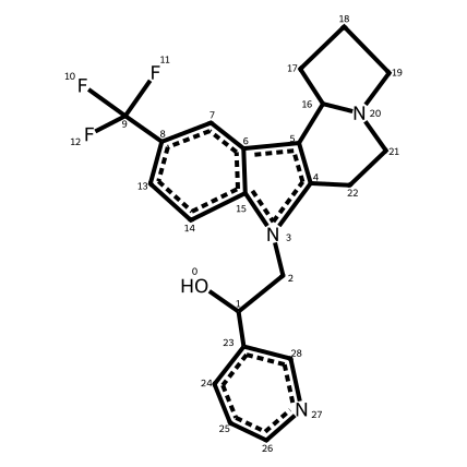 OC(Cn1c2c(c3cc(C(F)(F)F)ccc31)C1CCCN1CC2)c1cccnc1